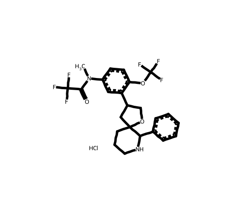 CN(C(=O)C(F)(F)F)c1ccc(OC(F)(F)F)c(C2COC3(CCCNC3c3ccccc3)C2)c1.Cl